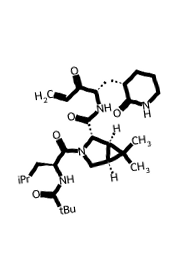 C=CC(=O)[C@H](C[C@@H]1CCCNC1=O)NC(=O)[C@@H]1[C@@H]2[C@H](CN1C(=O)[C@H](CC(C)C)NC(=O)C(C)(C)C)C2(C)C